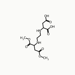 COC(=O)CC(NCCNC(CC(=O)O)C(=O)O)C(=O)OC